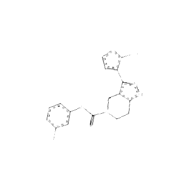 O=Cc1sccc1-c1n[nH]c2c1CN(C(=O)Nc1cccc(Cl)c1)CC2